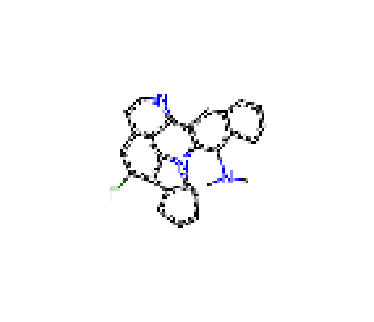 CN(C)c1c2ccccc2cc2c3nccc4cc(F)c5c6ccccc6n(c12)c5c43